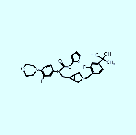 CC(C)(O)c1ccc(CN2CC3C(C2)C3CN(C(=O)Oc2cccs2)c2ccc(N3CCOCC3)c(F)c2)c(F)c1